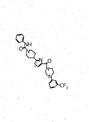 O=C(Nc1ccccc1)N1CCC(c2nc(C(=O)N3CCN(c4cccc(C(F)(F)F)c4)CC3)cs2)CC1